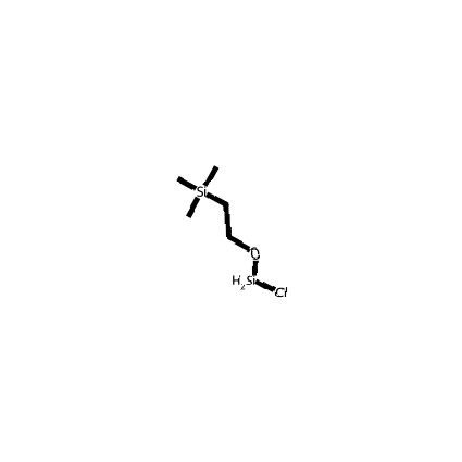 C[Si](C)(C)CCO[SiH2]Cl